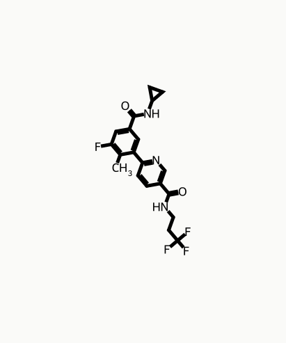 Cc1c(F)cc(C(=O)NC2CC2)cc1-c1ccc(C(=O)NCCC(F)(F)F)cn1